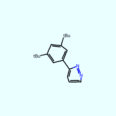 CC(C)(C)c1cc(-c2cccnn2)cc(C(C)(C)C)c1